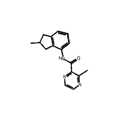 Cc1nccnc1C(=O)Nc1cccc2c1CC(C)C2